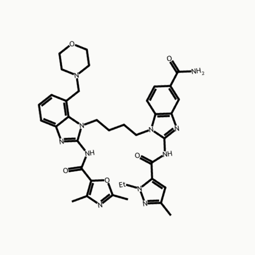 CCn1nc(C)cc1C(=O)Nc1nc2cc(C(N)=O)ccc2n1CCCCn1c(NC(=O)c2oc(C)nc2C)nc2cccc(CN3CCOCC3)c21